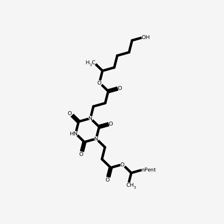 CCCCCC(C)OC(=O)CCn1c(=O)[nH]c(=O)n(CCC(=O)OC(C)CCCCO)c1=O